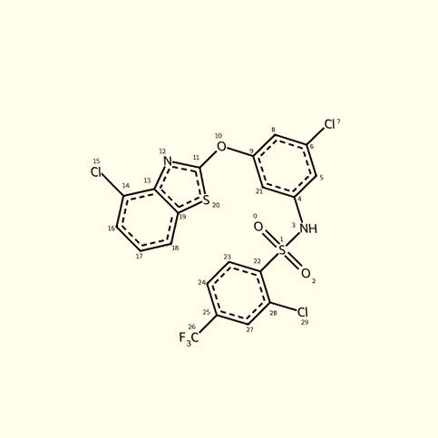 O=S(=O)(Nc1cc(Cl)cc(Oc2nc3c(Cl)cccc3s2)c1)c1ccc(C(F)(F)F)cc1Cl